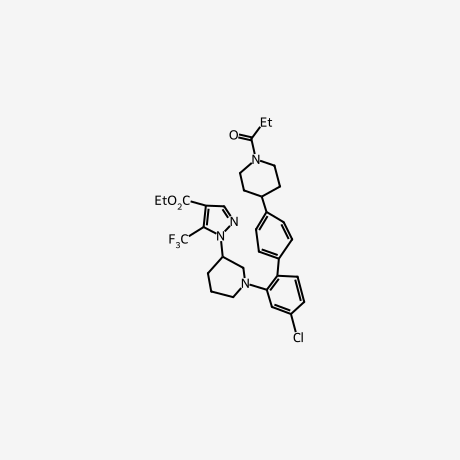 CCOC(=O)c1cnn(C2CCCN(c3cc(Cl)ccc3-c3ccc(C4CCN(C(=O)CC)CC4)cc3)C2)c1C(F)(F)F